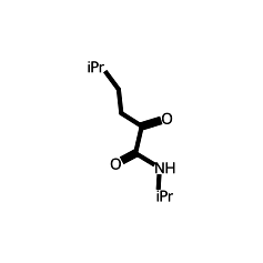 CC(C)CCC(=O)C(=O)NC(C)C